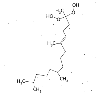 C/C(=C\CCC(C)(OO)OO)CCCC(C)CCCC(C)C